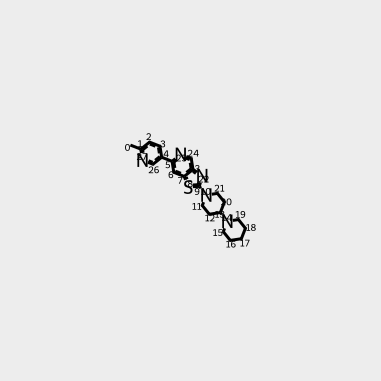 Cc1ccc(-c2cc3sc(N4CCC(N5CCCCC5)CC4)nc3cn2)cn1